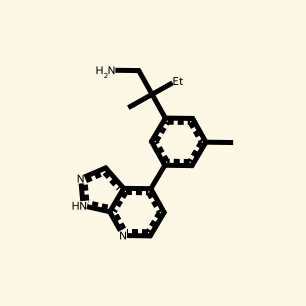 CCC(C)(CN)c1cc(C)cc(-c2ccnc3[nH]ncc23)c1